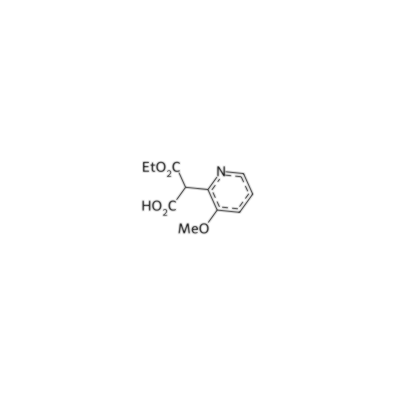 CCOC(=O)C(C(=O)O)c1ncccc1OC